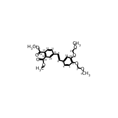 COCOc1ccc(C=Cc2ccc(C(=O)OC)c(C(=O)OC)c2)cc1OCOC